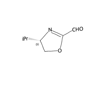 CC(C)[C@H]1COC(C=O)=N1